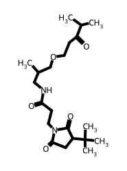 CC(CNC(=O)CCN1C(=O)CC(C(C)(C)C)C1=O)COCCC(=O)C(C)C